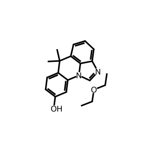 CC1(C)c2ccc(O)cc2-n2cnc3cccc1c32.CCOCC